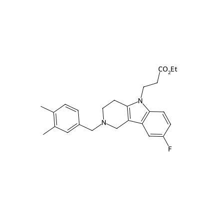 CCOC(=O)CCn1c2c(c3cc(F)ccc31)CN(Cc1ccc(C)c(C)c1)CC2